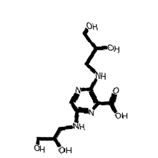 O=C(O)c1nc(NCC(O)CO)cnc1NCC(O)CO